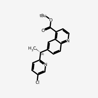 C[C@H](c1ccc2nccc(C(=O)OC(C)(C)C)c2c1)c1ccc(Cl)cn1